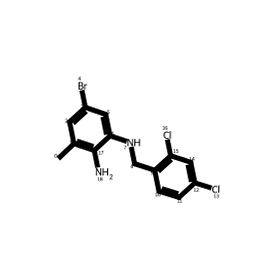 Cc1cc(Br)cc(NCc2ccc(Cl)cc2Cl)c1N